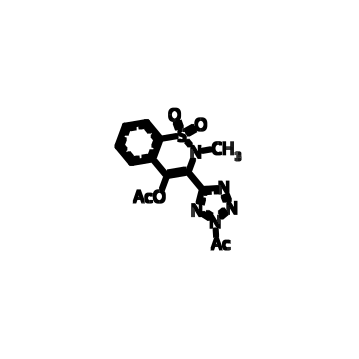 CC(=O)OC1=C(c2nnn(C(C)=O)n2)N(C)S(=O)(=O)c2ccccc21